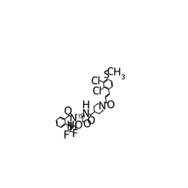 CSc1ccc(C=CC(=O)N2CCC(C(=O)N[C@@H](CNC(=O)c3ccccc3SC(F)F)C(=O)O)CC2)c(Cl)c1Cl